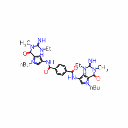 CCCCn1cc(NC(=O)c2ccc(C(=O)Nc3cc(C(=O)N(C)C(=N)NCC)n(CCCC)c3)cc2)cc1C(=O)N(C)C(=N)NCC